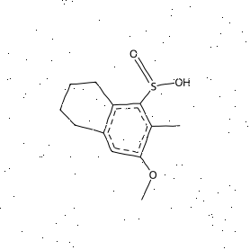 COc1cc2c(c(S(=O)O)c1C)CCCC2